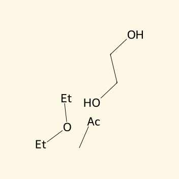 CC(C)=O.CCOCC.OCCO